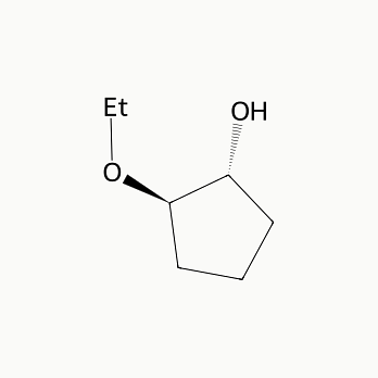 CCO[C@@H]1CCC[C@H]1O